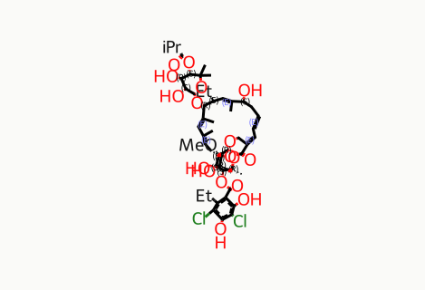 CCc1c(Cl)c(O)c(Cl)c(O)c1C(=O)O[C@H]1[C@H](O)[C@H](OC)[C@H](OC/C2=C\C=C\C[C@H](O)/C(C)=C/[C@H](CC)[C@@H](OC3OC(C)(C)[C@@H](OC(=O)C(C)C)[C@H](O)[C@@H]3O)/C(C)=C/C(C)=C/C[C@@H]([C@@H](C)O)OC2=O)O[C@@H]1C